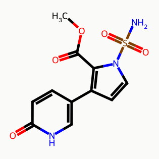 COC(=O)c1c(-c2ccc(=O)[nH]c2)ccn1S(N)(=O)=O